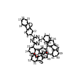 c1ccc(-c2nc(-c3ccc4c(c3)oc3ccccc34)nc(-c3cccc4oc5ccc(-c6cccc7sc8cccc(-c9ccc%10c(c9)sc9ccccc9%10)c8c67)cc5c34)n2)cc1